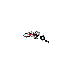 Cc1c(Nc2ccc(C#N)cc2F)ncnc1OC1CC2COCC(C1)N2C(=O)OC(C)C